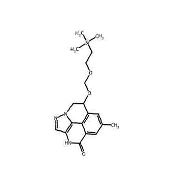 Cc1cc2c3c(c1)c(=O)[nH]c1cnn(c13)CC2OCOCC[Si](C)(C)C